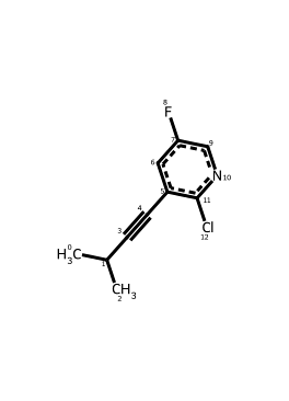 CC(C)C#Cc1cc(F)cnc1Cl